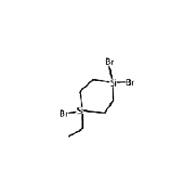 CC[Si]1(Br)CC[Si](Br)(Br)CC1